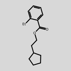 CCc1ccccc1C(=O)OCCC1CCCC1